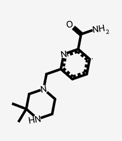 CC1(C)CN(Cc2cc[c]c(C(N)=O)n2)CCN1